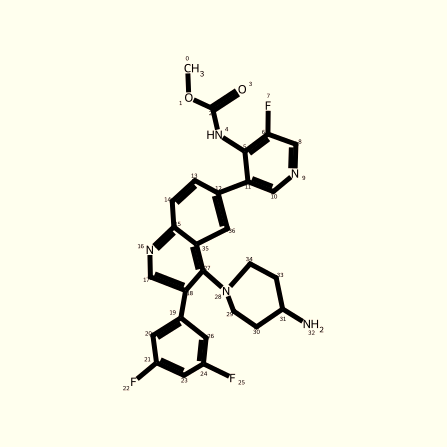 COC(=O)Nc1c(F)cncc1-c1ccc2ncc(-c3cc(F)cc(F)c3)c(N3CCC(N)CC3)c2c1